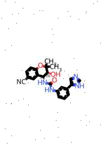 CC1(C)Oc2ccc(C#N)cc2[C@@H](NC(=O)Nc2cccc(-c3cnc[nH]3)c2)[C@@H]1O